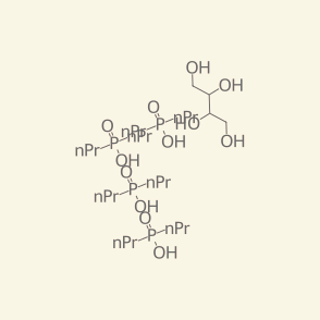 CCCP(=O)(O)CCC.CCCP(=O)(O)CCC.CCCP(=O)(O)CCC.CCCP(=O)(O)CCC.OCC(O)C(O)CO